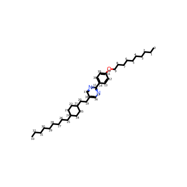 CCCCCCCCCCOc1ccc(-c2ncc(CCC3CCC(CCCCCCCCC)CC3)cn2)cc1